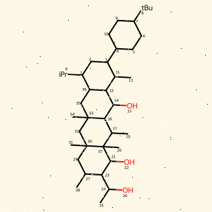 CC(C)C1CC(C2CCC(C(C)(C)C)CC2)C(C)C2C(O)C3C(C)C4(C)C(O)C(C(C)O)C(C)CC4(C)CC3(C)CC12